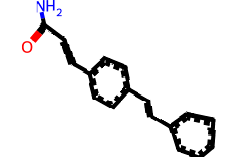 NC(=O)/C=C/c1ccc(C=Cc2ccccc2)cc1